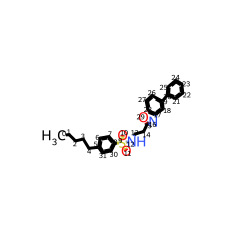 CCCCCc1ccc(S(=O)(=O)NCCc2nc3cc(-c4ccccc4)ccc3o2)cc1